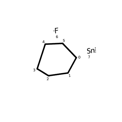 C1CCCCC1.[F].[Sn]